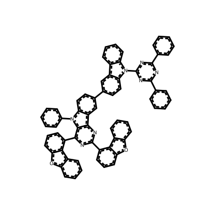 c1ccc(-c2nc(-c3ccccc3)nc(-n3c4ccccc4c4cc(-c5ccc6c(c5)c5nc(-c7cccc8oc9ccccc9c78)nc(-c7cccc8oc9ccccc9c78)c5n6-c5ccccc5)ccc43)n2)cc1